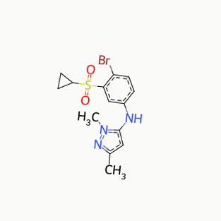 Cc1cc(Nc2ccc(Br)c(S(=O)(=O)C3CC3)c2)n(C)n1